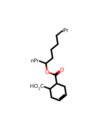 CCCC(CCCCC(C)C)OC(=O)C1CC=CCC1C(=O)O